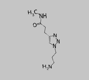 CNC(=O)CCc1cn(CCCN)nn1